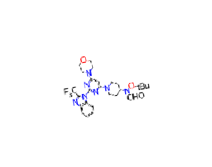 CC(C)(C)ON(C=O)C1CCN(c2cc(N3CCOCC3)nc(-n3c(C(F)(F)F)nc4ccccc43)n2)CC1